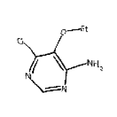 [CH2]COc1c(N)ncnc1Cl